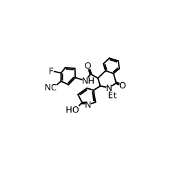 CCN1C(=O)c2ccccc2C(C(=O)Nc2ccc(F)c(C#N)c2)C1c1ccc(O)nc1